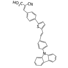 N#C/C(=C\c1ccc(-c2ccc(/C=C/c3ccc(-n4c5ccccc5c5ccccc54)cc3)s2)cc1)C(=O)O